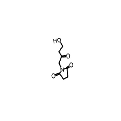 O=C(CCO)CN1C(=O)CCC1=O